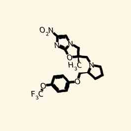 C[C@]1(CN2CCC[C@H]2COc2ccc(OC(F)(F)F)cc2)Cn2cc([N+](=O)[O-])nc2O1